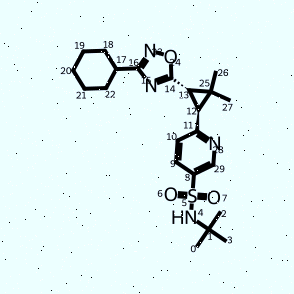 CC(C)(C)NS(=O)(=O)c1ccc([C@H]2[C@H](c3nc(C4CCCCC4)no3)C2(C)C)nc1